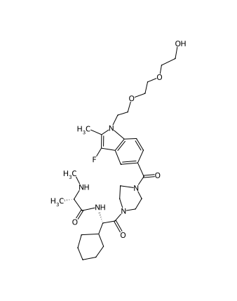 CN[C@@H](C)C(=O)N[C@H](C(=O)N1CCN(C(=O)c2ccc3c(c2)c(F)c(C)n3CCOCCOCCO)CC1)C1CCCCC1